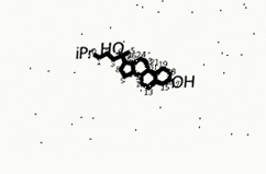 CC(C)CCCC(C)(O)C1CCC2C3CC=C4C[C@H](O)CC[C@]4(C)C3CC[C@@]21C